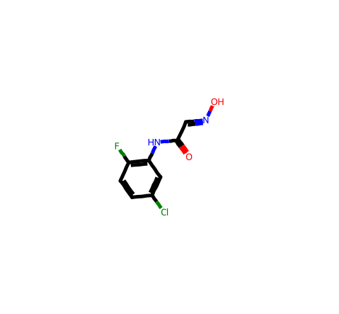 O=C(C=NO)Nc1cc(Cl)ccc1F